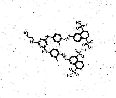 Cc1cc(Nc2nc(NCCO)nc(Nc3ccc(/N=N/c4cc(S(=O)(=O)O)c5cccc(S(=O)(=O)O)c5c4)c(C)c3)n2)ccc1/N=N/c1ccc2c(S(=O)(=O)O)ccc(S(=O)(=O)O)c2c1